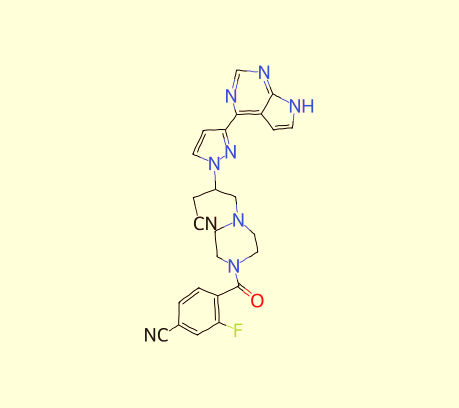 N#CCC(CN1CCN(C(=O)c2ccc(C#N)cc2F)CC1)n1ccc(-c2ncnc3[nH]ccc23)n1